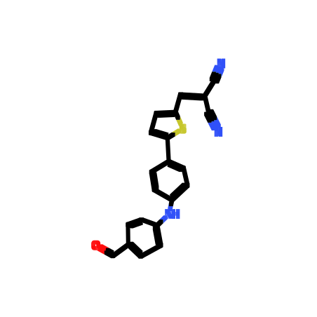 N#CC(C#N)=Cc1ccc(-c2ccc(Nc3ccc(C=O)cc3)cc2)s1